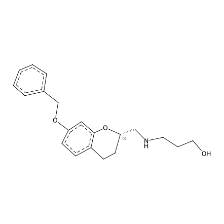 OCCCNC[C@@H]1CCc2ccc(OCc3ccccc3)cc2O1